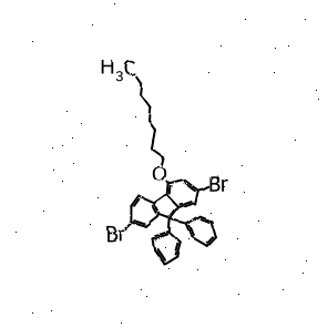 CCCCCCCCOc1cc(Br)cc2c1-c1ccc(Br)cc1C2(c1ccccc1)c1ccccc1